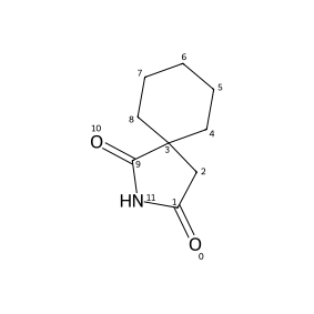 O=C1CC2(CCCCC2)C(=O)N1